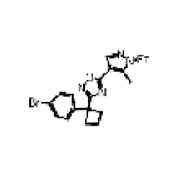 CCn1ncc(-c2nc(C3(c4ccc(Br)cc4)CCC3)no2)c1C